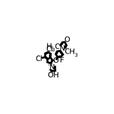 Cc1cc(=O)cc(C)n1-c1ccc(O[C@H]2c3cc(Cl)cc(Cl)c3C[C@@H]2N2CC[C@@H](O)C2)c(F)c1